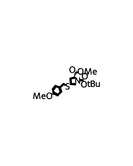 COC(=O)[C@@H]1C[C@@H](SCc2ccc(OC)cc2)CN1C(=O)OC(C)(C)C